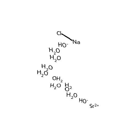 O.O.O.O.O.O.O.O.[Na][Cl].[OH-].[OH-].[Sr+2]